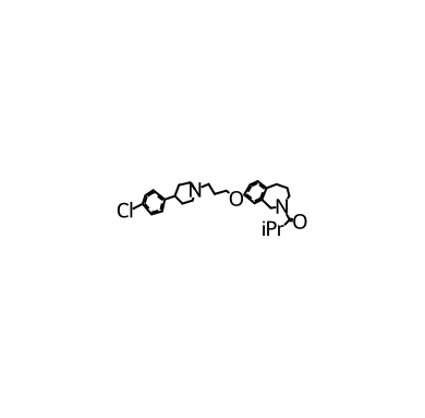 CC(C)C(=O)N1CCCc2ccc(OCCCN3CCC(c4ccc(Cl)cc4)CC3)cc2C1